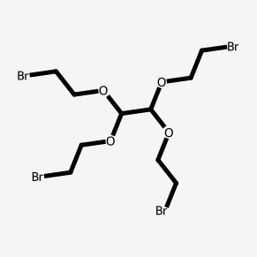 BrCCOC(OCCBr)C(OCCBr)OCCBr